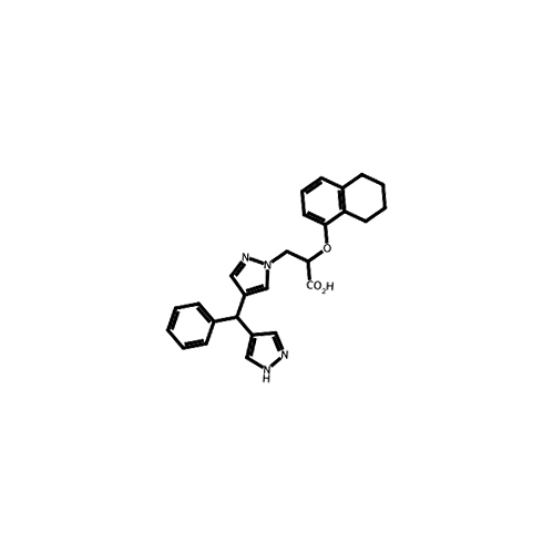 O=C(O)C(Cn1cc(C(c2ccccc2)c2cn[nH]c2)cn1)Oc1cccc2c1CCCC2